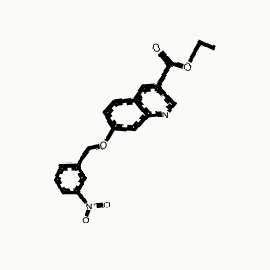 CCOC(=O)c1cnc2cc(OCc3cccc([N+](=O)[O-])c3)ccc2c1